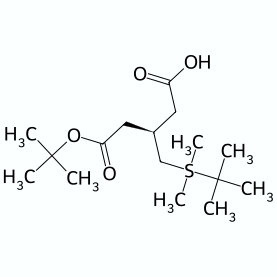 CC(C)(C)OC(=O)C[C@@H](CC(=O)O)CS(C)(C)C(C)(C)C